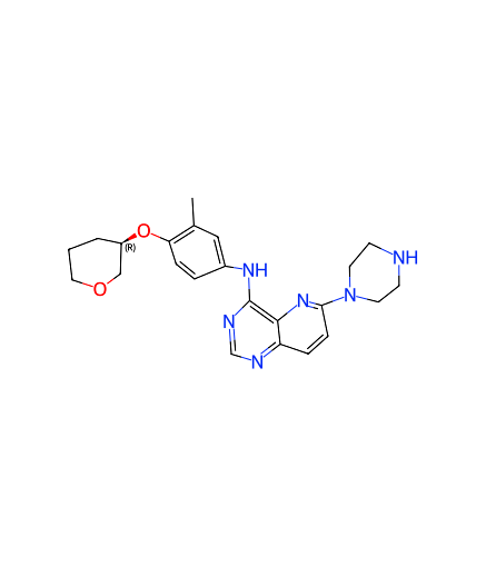 Cc1cc(Nc2ncnc3ccc(N4CCNCC4)nc23)ccc1O[C@@H]1CCCOC1